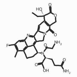 CC[C@@]1(O)C(=O)OCc2c1cc1n(c2=O)Cc2c-1nc1cc(F)c(C)c3c1c2[C@@H](N(C(=O)CN)[C@@H](CCC(N)=O)C(=O)O)CC3